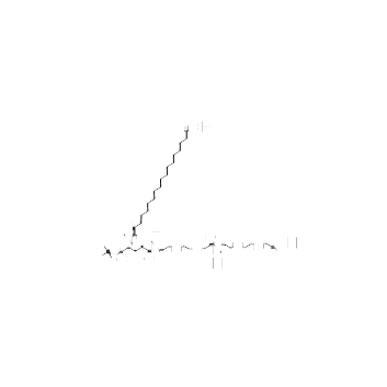 CC(C)(C)OC(=O)C(CCC(=O)NCCOCCOCC(=O)NCCOCCOCC(=O)O)NC(=O)CCCCCCCCCCCCCCCCC(=O)O